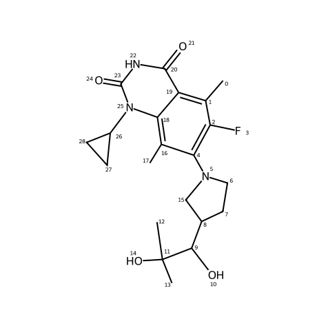 Cc1c(F)c(N2CCC(C(O)C(C)(C)O)C2)c(C)c2c1c(=O)[nH]c(=O)n2C1CC1